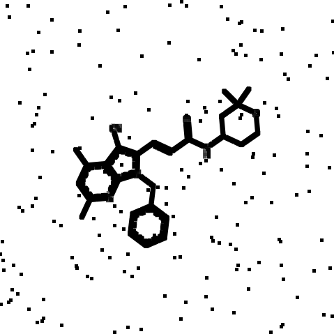 Cc1cc(C)c2c(C#N)c(/C=C/C(=O)NC3CCOC(C)(C)C3)n(Cc3ccccc3)c2n1